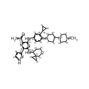 CN1CCN(C2CCN(c3ccc(Nc4nc(NC5CCOCC56CC6)c(-c5cc[nH]n5)nc4C(N)=O)cc3C3CC3)CC2)CC1